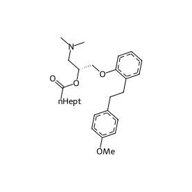 CCCCCCCC(=O)O[C@@H](COc1ccccc1CCc1ccc(OC)cc1)CN(C)C